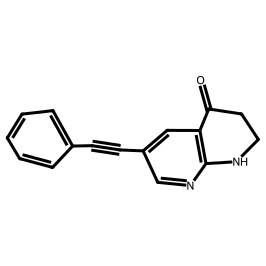 O=C1CCNc2ncc(C#Cc3ccccc3)cc21